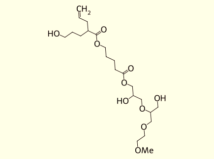 C=CCC(CCCO)C(=O)OCCCCC(=O)OCC(O)COC(CO)COCCOC